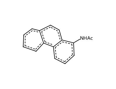 CC(=O)Nc1cccc2c1ccc1ccccc12